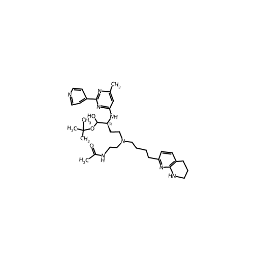 CC(=O)NCCN(CCCCc1ccc2c(n1)NCCC2)CC[C@H](Nc1cc(C)nc(-c2ccncc2)n1)C(O)OC(C)(C)C